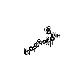 O=C(CN1CC[C@@](O)(C(=O)Nc2ccc3[nH]nc(-c4ccc5c(c4)OCO5)c3c2)C1)N1CC=C(c2ccc(-c3ncccn3)cc2F)CC1